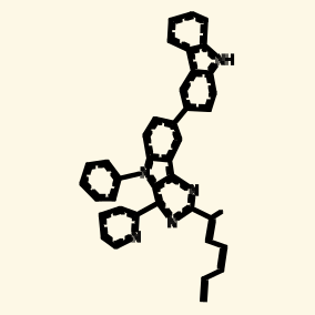 C=C/C=C\C=C(/C)c1nc(-c2ccccn2)c2c(n1)c1cc(-c3ccc4[nH]c5ccccc5c4c3)ccc1n2-c1ccccc1